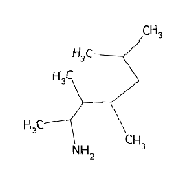 CC(C)CC(C)C(C)C(C)N